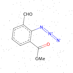 COC(=O)c1cccc(C=O)c1N=[N+]=[N-]